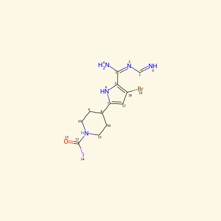 N=C/N=C(/N)c1[nH]c(C2CCN(C(=O)I)CC2)cc1Br